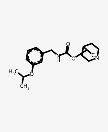 CC(C)Oc1cccc(CNC(=O)OC2CN3CCC2CC3)c1